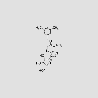 Cc1cc(C)cc(CON2C=Nc3c(ncn3[C@@H]3O[C@H](CO)C(O)C3O)C2N)c1